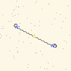 c1cc[n+](CCCCCCCCCCCSCCCCCCCCCCC[n+]2ccccc2)cc1